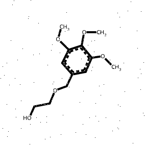 COc1cc(COCCO)cc(OC)c1OC